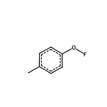 Cc1ccc(OF)cc1